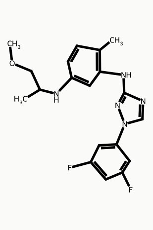 COCC(C)Nc1ccc(C)c(Nc2ncn(-c3cc(F)cc(F)c3)n2)c1